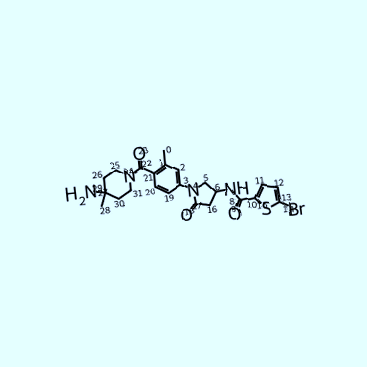 Cc1cc(N2CC(NC(=O)c3ccc(Br)s3)CC2=O)ccc1C(=O)N1CCC(C)(N)CC1